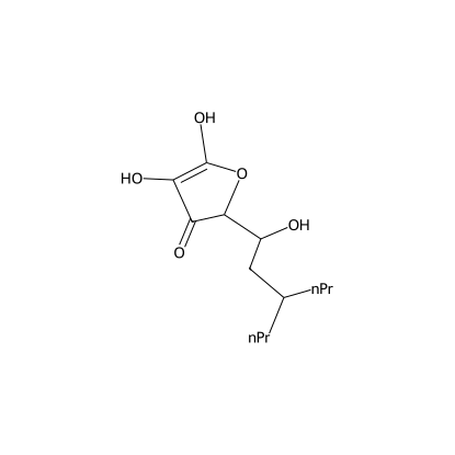 CCCC(CCC)CC(O)C1OC(O)=C(O)C1=O